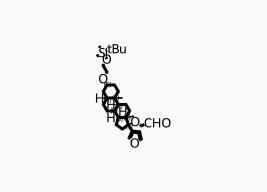 CC(C)(C)[Si](C)(C)OCCO[C@H]1CC[C@@]2(C)[C@H](CC[C@@H]3[C@@H]2CC[C@@]2(C)[C@H]3CC[C@@]2(OCC=O)c2ccoc2)C1